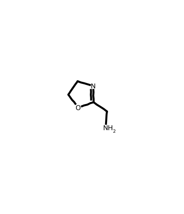 NCC1=NCCO1